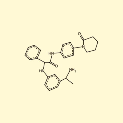 CC(N)c1cccc(NC(C(=O)Nc2ccc(N3CCCCC3=O)cc2)c2ccccc2)c1